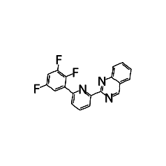 Fc1cc(F)c(F)c(-c2cccc(-c3ncc4ccccc4n3)n2)c1